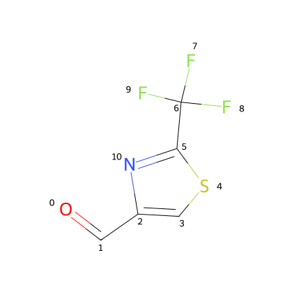 O=Cc1csc(C(F)(F)F)n1